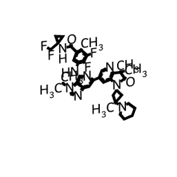 Cc1c(C(=O)NC2(C(F)F)CC2)cc(Nc2nc(-c3cnc4c(c3)N(C3CC(C)(N5CCCCC5)C3)C(=O)C4(C)C)cc3ncn(C(C)C)c23)c(F)c1F